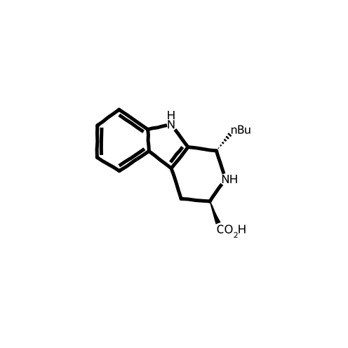 CCCC[C@@H]1N[C@@H](C(=O)O)Cc2c1[nH]c1ccccc21